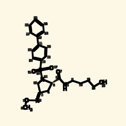 CON=C1C[C@@H](C(=O)NCCCCO)N(S(=O)(=O)c2ccc(-c3ccccc3)cc2)C1